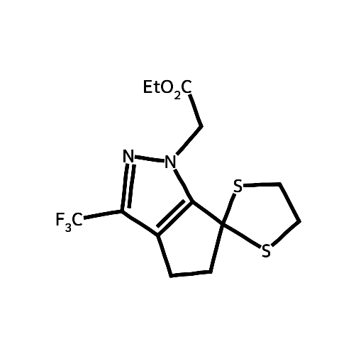 CCOC(=O)Cn1nc(C(F)(F)F)c2c1C1(CC2)SCCS1